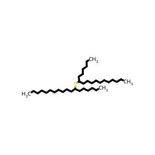 CCCCCCCCCCCC(CCCCCC)SC(CCCCCC)CCCCCCCCCCC